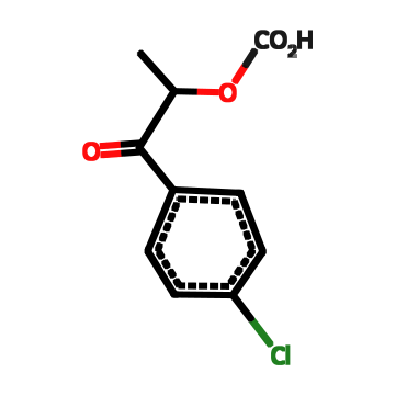 CC(OC(=O)O)C(=O)c1ccc(Cl)cc1